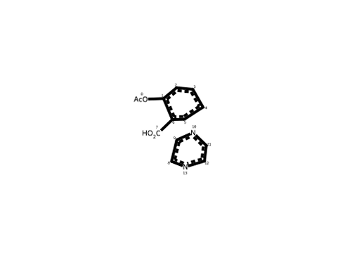 CC(=O)Oc1ccccc1C(=O)O.c1cnccn1